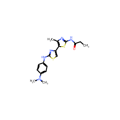 CCC(=O)Nc1nc(C)c(-c2csc(Nc3ccc(N(C)C)cc3)n2)s1